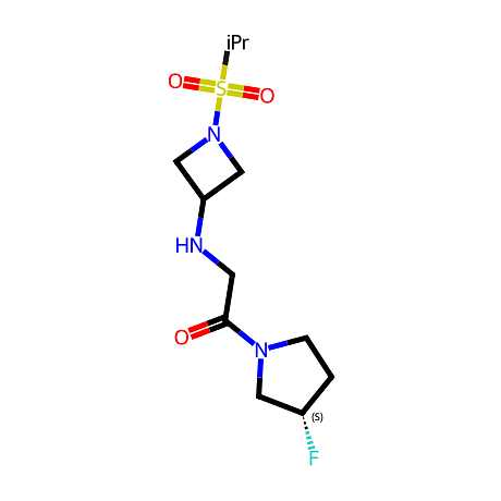 CC(C)S(=O)(=O)N1CC(NCC(=O)N2CC[C@H](F)C2)C1